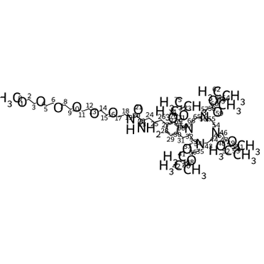 COCCOCCOCCOCCOCCOCCNC(=O)[C@@H](N)CCCc1ccc(CC2CN(CC(=O)OC(C)(C)C)CCN(CC(=O)OC(C)(C)C)CCN(CC(=O)OC(C)(C)C)CCN2CC(=O)OC(C)(C)C)cc1